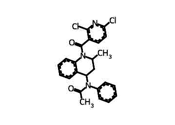 CC(=O)N(c1ccccc1)C1CC(C)N(C(=O)c2ccc(Cl)nc2Cl)c2ccccc21